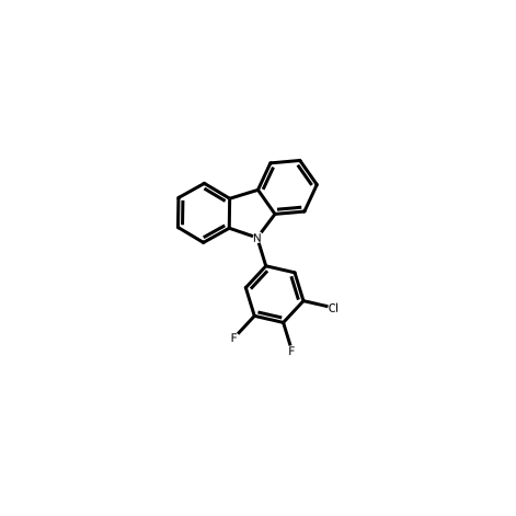 Fc1cc(-n2c3ccccc3c3ccccc32)cc(Cl)c1F